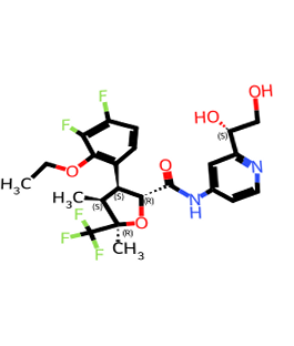 CCOc1c([C@H]2[C@H](C(=O)Nc3ccnc([C@H](O)CO)c3)O[C@@](C)(C(F)(F)F)[C@H]2C)ccc(F)c1F